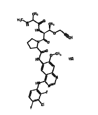 C#CCO[C@H](C)[C@H](NC(=O)C(C)NC)C(=O)N1CCCC1C(=O)Nc1cc2c(Nc3ccc(F)c(Cl)c3F)ncnc2cc1OC.Cl